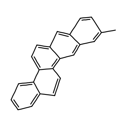 Cc1ccc2cc3ccc4c5ccccc5ccc4c3cc2c1